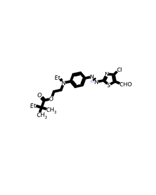 CCN(CCOC(=O)C(C)(C)CC)c1ccc(/N=N/c2nc(Cl)c(C=O)s2)cc1